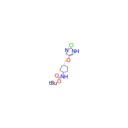 CC(C)(C)OC(=O)N[C@H]1CC[C@H](COC2=CNC(Cl)N=C2)CC1